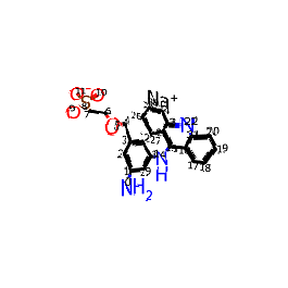 Nc1cc(COCCS(=O)(=O)[O-])cc(Nc2c3ccccc3nc3ccccc23)c1.[Na+]